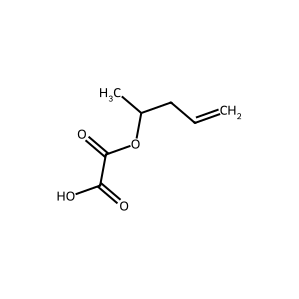 C=CCC(C)OC(=O)C(=O)O